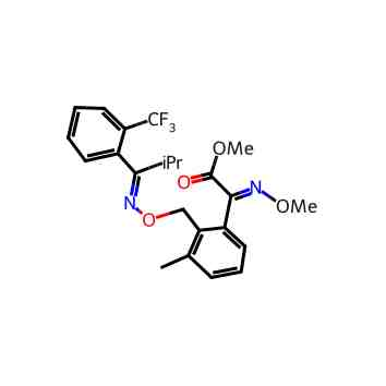 CO/N=C(/C(=O)OC)c1cccc(C)c1CO/N=C(/c1ccccc1C(F)(F)F)C(C)C